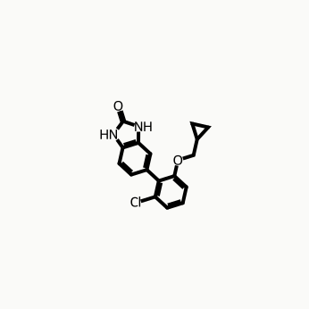 O=c1[nH]c2ccc(-c3c(Cl)cccc3OCC3CC3)cc2[nH]1